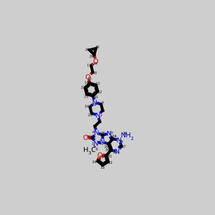 CN1C(=O)N(CCN2CCN(c3ccc(OCCOC4CC4)cc3)CC2)C2N=C3C(=C(c4ccco4)N=CN3N)N21